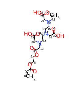 C=CC(=O)OCCOC(=O)CN(CCN(CCN(CC)CC(=O)O)CC(=O)O)CC(=O)O